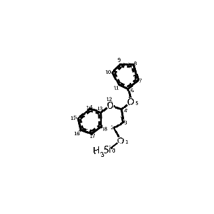 [SiH3]OCCC(Oc1ccccc1)Oc1ccccc1